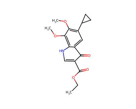 CCOC(=O)c1c[nH]c2c(OC)c(OC)c(C3CC3)cc2c1=O